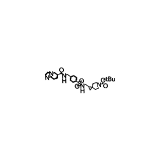 CC(C)(C)OC(=O)N1CCC2(CC1)CC2CNS(=O)(=O)c1ccc(CNC(=O)c2ccc3nccn3c2)cc1